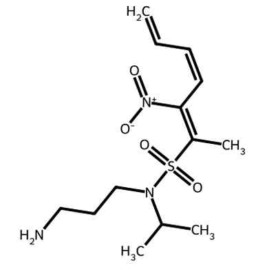 C=C/C=C\C(=C(/C)S(=O)(=O)N(CCCN)C(C)C)[N+](=O)[O-]